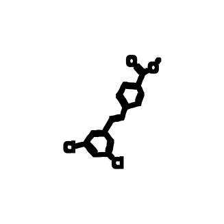 COC(=O)c1ccc(C=Cc2cc(Cl)cc(Cl)c2)cc1